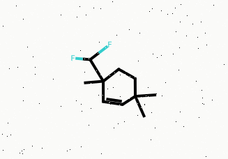 CC1(C)C=CC(C)(C(F)F)CC1